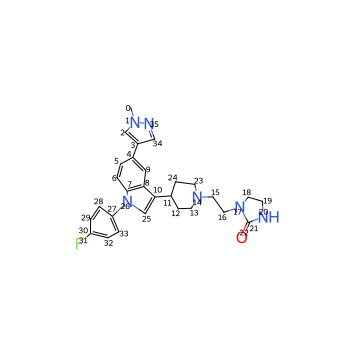 Cn1cc(-c2ccc3c(c2)c(C2CCN(CCN4CCNC4=O)CC2)cn3-c2ccc(F)cc2)cn1